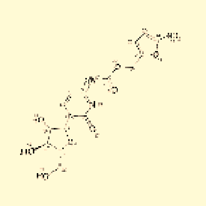 O=C(Nc1ccn([C@@H]2O[C@H](CO)[C@@H](O)[C@@H]2O)c(=O)n1)OCc1ccc([N+](=O)[O-])o1